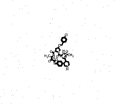 C[C@H](NC(=O)[C@@H]1C[C@@H](OCc2ccc(Cl)cc2)CN1C(=O)[C@@H](CCC1CCNCC1)NS(C)(=O)=O)C(=O)c1nc2ccccc2o1